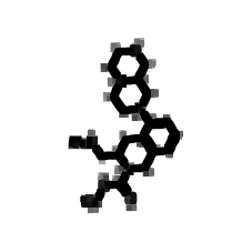 CNCC1Cc2c(cccc2N2CCN3CCOCC3C2)CN1C(=O)OC(C)(C)C